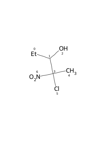 CCC(O)C(C)(Cl)[N+](=O)[O-]